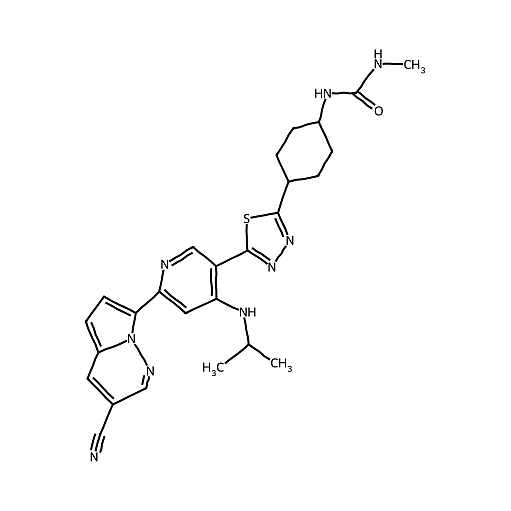 CNC(=O)NC1CCC(c2nnc(-c3cnc(-c4ccc5cc(C#N)cnn45)cc3NC(C)C)s2)CC1